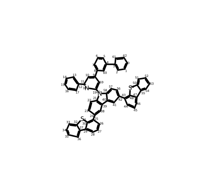 c1ccc(-c2cccc(-c3cc(-c4ccccc4)nc(-n4c5ccc(-c6cccc7c6sc6ccccc67)cc5c5cc(-c6cccc7c6sc6ccccc67)ccc54)c3)c2)cc1